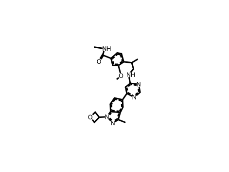 CNC(=O)c1ccc(C(C)CNc2cc(-c3ccc4c(c3)c(C)nn4C3COC3)ncn2)c(OC)c1